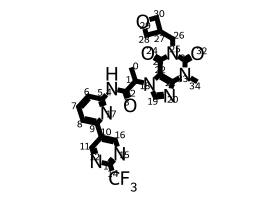 CC(C(=O)Nc1cccc(-c2cnc(C(F)(F)F)nc2)n1)n1cnc2c1c(=O)n(CC1COC1)c(=O)n2C